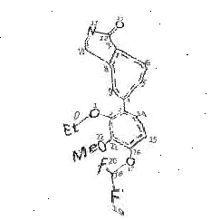 CCOc1c(-c2ccc3c(c2)C=NC3=O)ccc(OC(F)F)c1OC